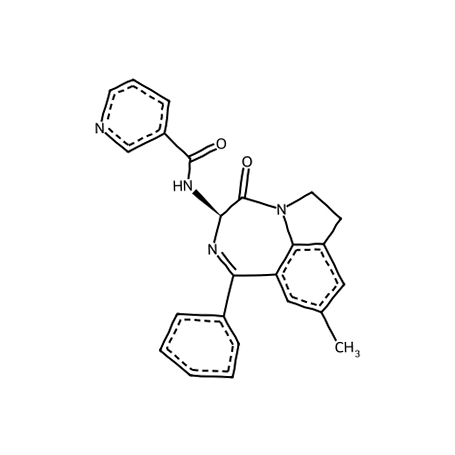 Cc1cc2c3c(c1)C(c1ccccc1)=N[C@@H](NC(=O)c1cccnc1)C(=O)N3CC2